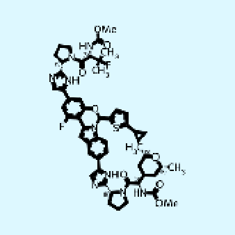 COC(=O)N[C@H](C(=O)N1CCC[C@@H]1c1ncc(-c2ccc3c(c2)cc2n3C(c3ccc(C4CC4)s3)Oc3cc(-c4cnc([C@@H]5CCCN5C(=O)[C@H](NC(=O)OC)C(C)(C)F)[nH]4)cc(F)c3-2)[nH]1)C1C[C@@H](C)O[C@@H](C)C1